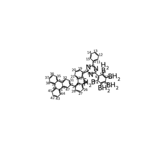 Bc1c(B)c(B)c(-c2nc(-c3ccccc3)nc(-c3cccc4c3sc3cccc(-c5ccc6c7ccccc7c7ccccc7c6c5)c34)n2)c(B)c1B